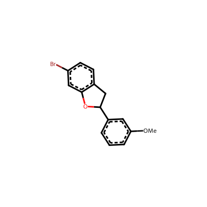 COc1cccc(C2Cc3ccc(Br)cc3O2)c1